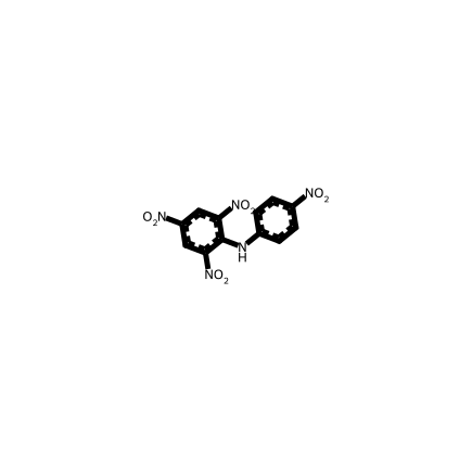 O=[N+]([O-])c1ccc(Nc2c([N+](=O)[O-])cc([N+](=O)[O-])cc2[N+](=O)[O-])cc1